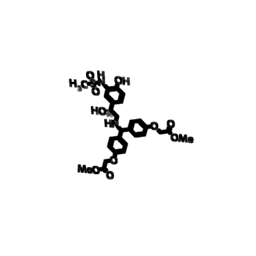 COC(=O)COc1ccc(C(NC[C@H](O)c2ccc(O)c(NS(C)(=O)=O)c2)c2ccc(OCC(=O)OC)cc2)cc1